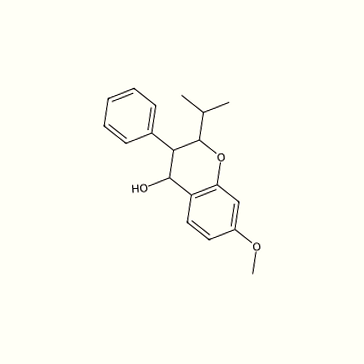 COc1ccc2c(c1)OC(C(C)C)C(c1ccccc1)C2O